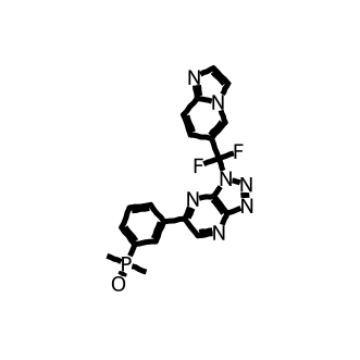 CP(C)(=O)c1cccc(-c2cnc3nnn(C(F)(F)c4ccc5nccn5c4)c3n2)c1